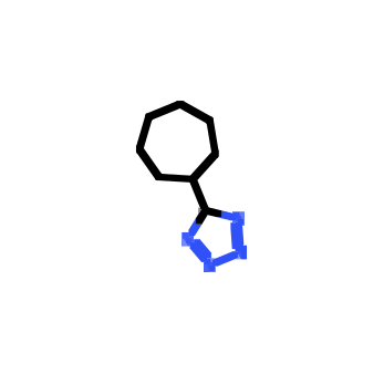 C1CCCC([C]2N=NN=N2)CC1